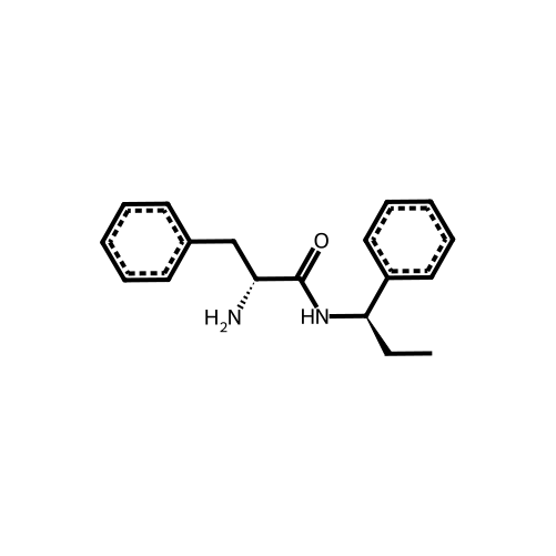 CC[C@@H](NC(=O)[C@H](N)Cc1ccccc1)c1ccccc1